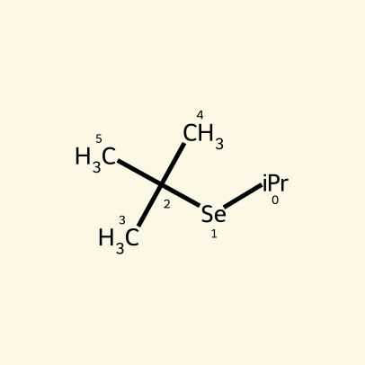 CC(C)[Se]C(C)(C)C